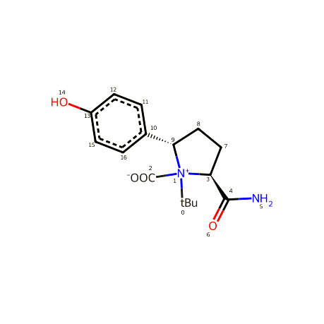 CC(C)(C)[N+]1(C(=O)[O-])[C@H](C(N)=O)CC[C@H]1c1ccc(O)cc1